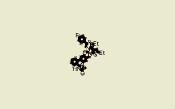 CCO/N=C(\Cn1c(=O)c2cc(CC)sc2n(Cc2ccc(-c3ccccc3-c3noc(=O)[nH]3)cc2)c1=O)c1ccc(F)cc1